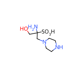 NC(CO)(CN1CCNCC1)S(=O)(=O)O